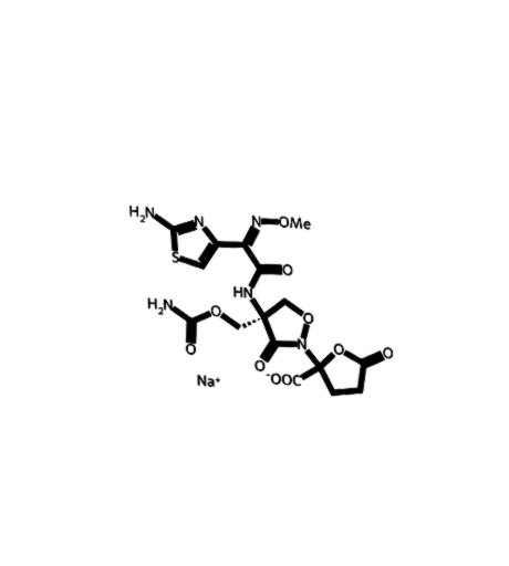 CO/N=C(\C(=O)N[C@@]1(COC(N)=O)CON(C2(C(=O)[O-])CCC(=O)O2)C1=O)c1csc(N)n1.[Na+]